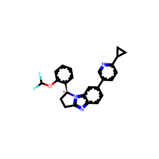 FC(F)Oc1ccccc1[C@@H]1CCc2nc3ccc(-c4ccc(C5CC5)nc4)cc3n21